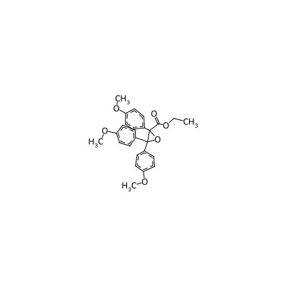 CCOC(=O)C1(c2ccc(OC)cc2)OC1(c1ccc(OC)cc1)c1ccc(OC)cc1